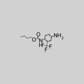 CCCCOC(=O)Nc1ccc(N)cc1C(F)(F)F